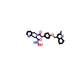 Cc1cc(COc2ccc(CC(=O)N3Cc4cccnc4CC3C(=O)NO)cc2)c2ccccc2n1